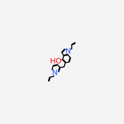 C=CCn1ccc2c(O)c(Cc3ccc[n+](CC=C)c3)ccc21